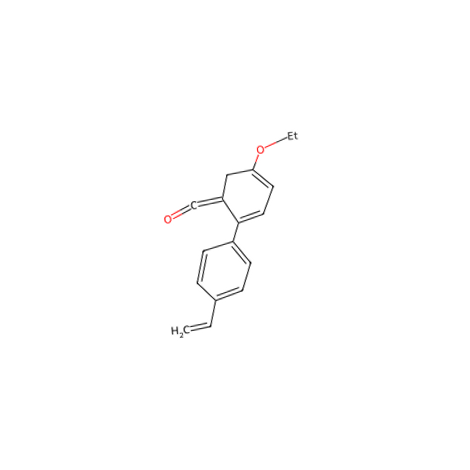 C=Cc1ccc(C2=CC=C(OCC)CC2=C=O)cc1